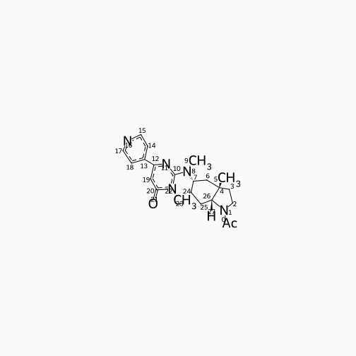 CC(=O)N1CC[C@@]2(C)C[C@@H](N(C)c3nc(-c4ccncc4)cc(=O)n3C)CC[C@@H]12